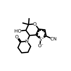 CC1(C)Oc2cc(C#N)[s+]([O-])c2C(N2CCCCC2=O)C1O